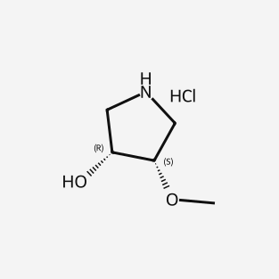 CO[C@H]1CNC[C@H]1O.Cl